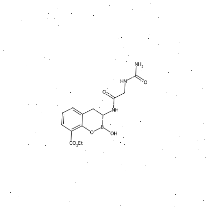 CCOC(=O)c1cccc2c1OB(O)C(NC(=O)CNC(N)=O)C2